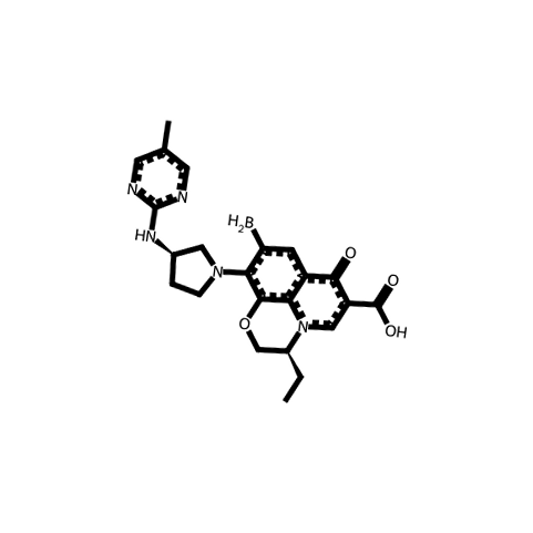 Bc1cc2c(=O)c(C(=O)O)cn3c2c(c1N1CC[C@@H](Nc2ncc(C)cn2)C1)OC[C@@H]3CC